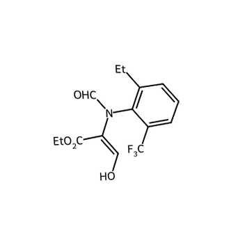 CCOC(=O)C(=CO)N(C=O)c1c(CC)cccc1C(F)(F)F